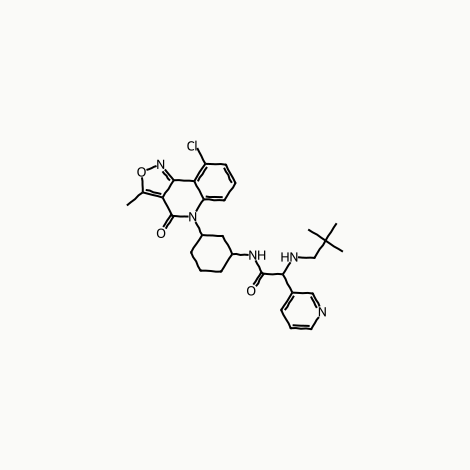 Cc1onc2c1c(=O)n(C1CCCC(NC(=O)C(NCC(C)(C)C)c3cccnc3)C1)c1cccc(Cl)c21